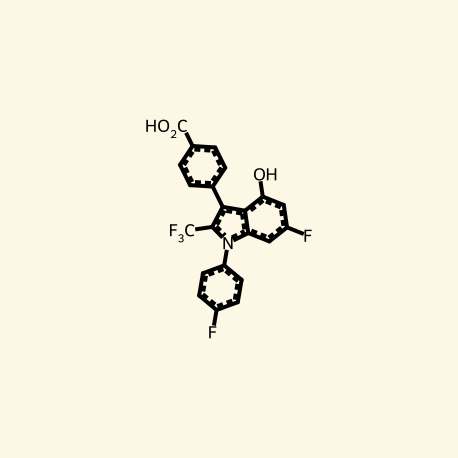 O=C(O)c1ccc(-c2c(C(F)(F)F)n(-c3ccc(F)cc3)c3cc(F)cc(O)c23)cc1